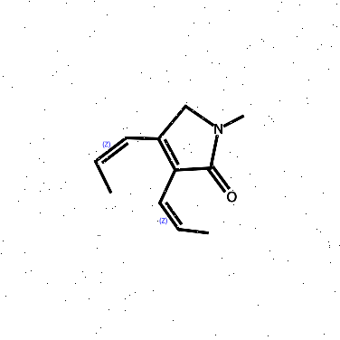 C/C=C\C1=C(/C=C\C)C(=O)N(C)C1